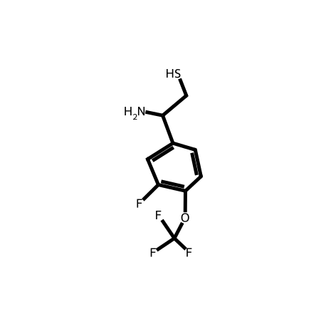 NC(CS)c1ccc(OC(F)(F)F)c(F)c1